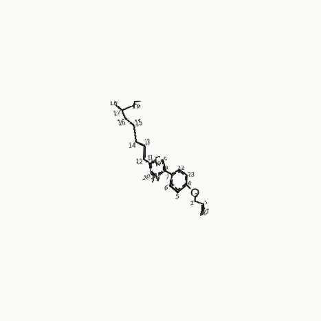 C=CCOc1ccc(-c2ccc(C=CCCCC(C)F)cn2)cc1